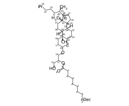 CCCCCCCCCCCCCCCCCC(=O)OC(CO)COC1CC[C@@]2(C)C(=CC[C@H]3[C@@H]4CC[C@H]([C@H](C)CCCC(C)C)[C@@]4(C)CC[C@@H]32)C1